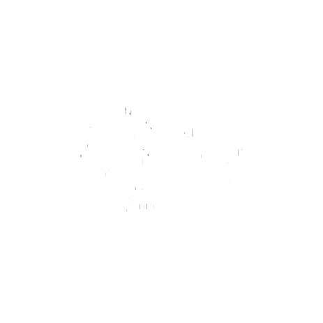 CCCS(=O)(=O)CCOCC1(c2cc3c(Nc4ccc(OCc5cccc(F)c5)c(Cl)c4)ncnc3cc2F)CC=CO1